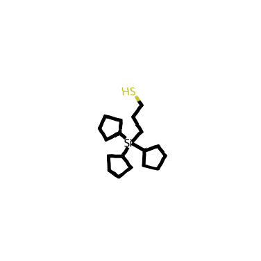 SCCC[Si](C1CCCC1)(C1CCCC1)C1CCCC1